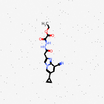 CCOC(=O)C(=O)NNC(=O)Cc1cn2cc(C3CC3)cc(C#N)c2n1